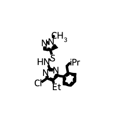 CCc1c(Cl)nc(NSc2cnn(C)c2)nc1-c1ccccc1CC(C)C